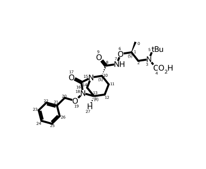 C[C@@H](CN(C(=O)O)C(C)(C)C)ONC(=O)[C@@H]1CC[C@@H]2CN1C(=O)N2OCc1ccccc1